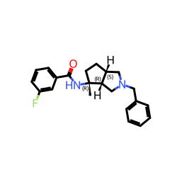 C[C@@]1(NC(=O)c2cccc(F)c2)CC[C@@H]2CN(Cc3ccccc3)C[C@@H]21